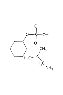 CN(C)C.N.O=S(=O)(O)OC1CCCCC1